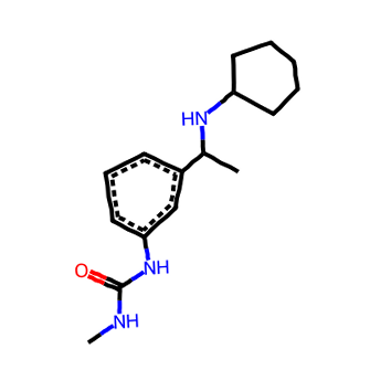 CNC(=O)Nc1cccc(C(C)NC2CCCCC2)c1